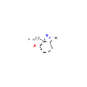 CC1CCCCC1(C)N.O=CO